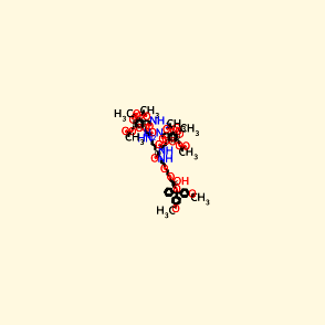 COc1ccc(C(OC[C@@H](O)COCCOCCNC(=O)[C@H](CCCCNC(=O)CO[C@@H]2O[C@H](COC(C)=O)[C@H](OC(C)=O)[C@H](OC(C)=O)[C@H]2CC(N)=O)NC(=O)CO[C@@H]2O[C@H](COC(C)=O)[C@H](OC(C)=O)[C@H](OC(C)=O)[C@H]2CC(N)=O)(c2ccccc2)c2ccc(OC)cc2)cc1